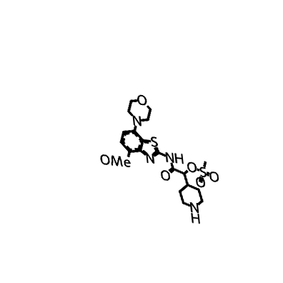 COc1ccc(N2CCOCC2)c2sc(NC(=O)C(OS(C)(=O)=O)C3CCNCC3)nc12